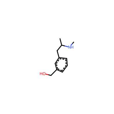 CNC(C)Cc1cccc(CO)c1